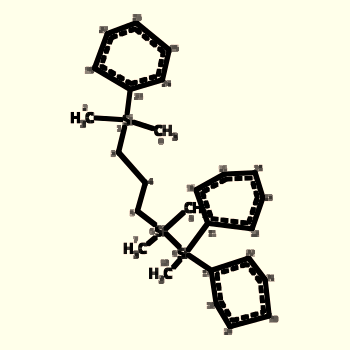 C[Si](C)(CCC[Si](C)(C)[Si](C)(c1ccccc1)c1ccccc1)c1ccccc1